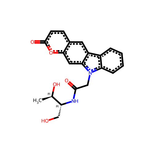 C[C@@H](O)[C@@H](CO)NC(=O)Cn1c2ccccc2c2cc3ccc(=O)oc3cc21